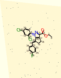 CCOC(=O)c1nn(-c2ccc(Cl)cc2Cl)c2c1CCC2=Cc1ccc(F)cc1